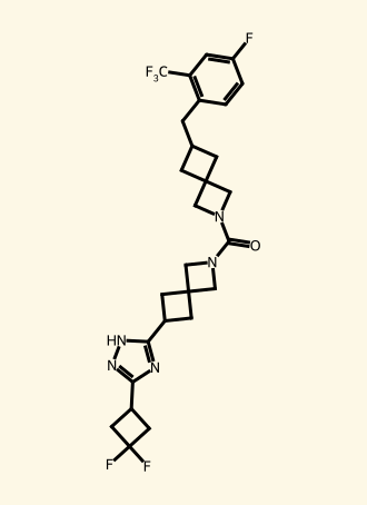 O=C(N1CC2(CC(Cc3ccc(F)cc3C(F)(F)F)C2)C1)N1CC2(CC(c3nc(C4CC(F)(F)C4)n[nH]3)C2)C1